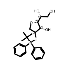 CC(C)(C)[Si](O[C@H]1CO[C@H]([C@H](O)CO)[C@@H]1O)(c1ccccc1)c1ccccc1